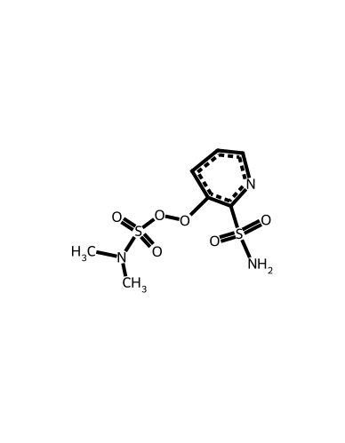 CN(C)S(=O)(=O)OOc1cccnc1S(N)(=O)=O